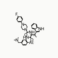 CC(=O)c1ccc(CN(C)C)cc1NC(=O)[C@H](NC(=O)N1CCN(c2ccc(F)cc2)CC1)[C@H](C)c1c[nH]c2ccccc12